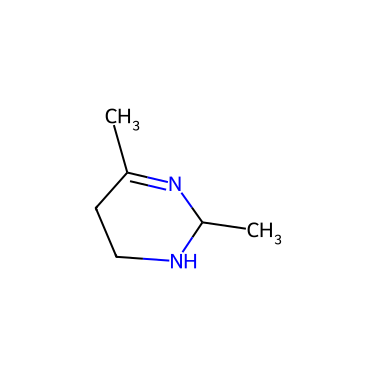 CC1=NC(C)NCC1